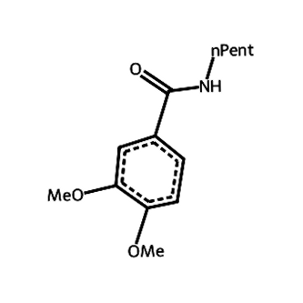 CCCCCNC(=O)c1ccc(OC)c(OC)c1